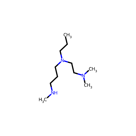 CCCN(CCCNC)CCN(C)C